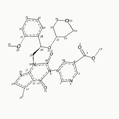 COC(=O)c1cncc(-n2c(=O)c3c(C)csc3n(C[C@H](OC3CCOCC3)c3ccccc3OC)c2=O)c1